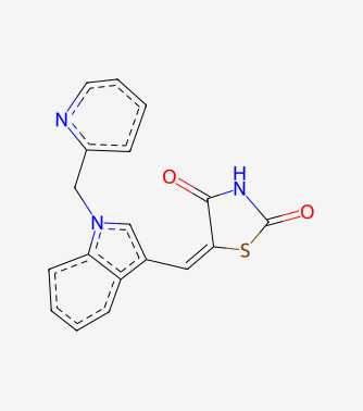 O=C1NC(=O)/C(=C\c2cn(Cc3ccccn3)c3ccccc23)S1